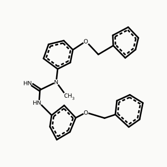 CN(C(=N)Nc1cccc(OCc2ccccc2)c1)c1cccc(OCc2ccccc2)c1